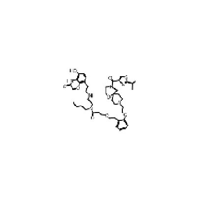 CCCCN(CCNCCc1ccc(O)c2c1OCC(=O)N2)C(=O)CCOCCc1ccccc1OCCN1CCC2(CC1)CN(C(=O)c1csc(C(C)C)n1)CCO2